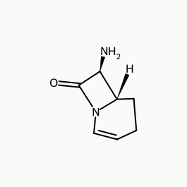 N[C@@H]1C(=O)N2C=CCC[C@@H]12